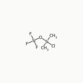 C[Si](C)(Cl)O[Si](F)(F)F